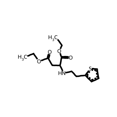 CCOC(=O)CC(NCCc1cccs1)C(=O)OCC